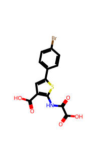 O=C(O)C(=O)Nc1sc(-c2ccc(Br)cc2)cc1C(=O)O